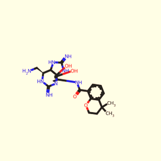 CC1(C)CCOc2c(C(=O)NC3CN4C(=N)N[C@@H](CN)C5NC(=N)N[C@]54C3(O)O)cccc21